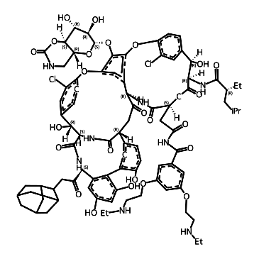 CCNCCOc1cc(OCCNCC)cc(C(=O)NC(=O)C[C@@H]2CC(=O)[C@H](NC(=O)[C@H](CC)CC(C)C)[C@H](O)c3ccc(c(Cl)c3)Oc3cc4cc(c3O[C@@H]3O[C@@H]5CNC(=O)O[C@H]5[C@H](O)[C@H]3O)Oc3ccc(cc3Cl)[C@@H](O)[C@@H]3NC(=O)[C@H](CC(=O)[C@@H]4NC2=O)c2ccc(O)c(c2)-c2c(O)cc(O)cc2[C@@H](C(=O)CC2C4CC5CC(C4)CC2C5)NC3=O)c1